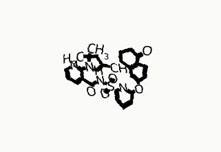 CC1CN(c2ncccc2C(=O)NS(=O)(=O)c2cccc(Oc3ccc4c(c3)CCCC4=O)n2)C(C)(C)C1